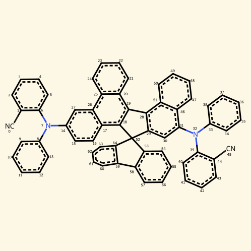 N#Cc1ccccc1N(c1ccccc1)c1ccc2c3c(c4ccccc4c2c1)-c1c(cc(N(c2ccccc2)c2ccccc2C#N)c2ccccc12)C31c2ccccc2-c2ccccc21